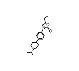 CCC1CN(c2ccc(C3=CCN(C(C)C)CC3)cc2)C(=O)O1